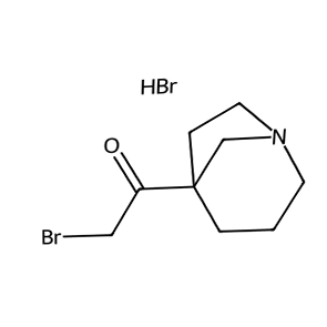 Br.O=C(CBr)C12CCCN(CC1)C2